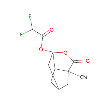 N#CC12CC3CC1C(OC(=O)C(F)F)(C3)OC2=O